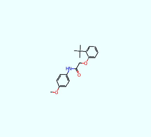 COc1ccc(NC(=O)COc2ccccc2C(C)(C)C)cc1